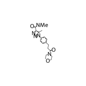 CNC(=O)c1nnn(-c2ccc(CCC(=O)N3CCOCC3)cc2)c1C